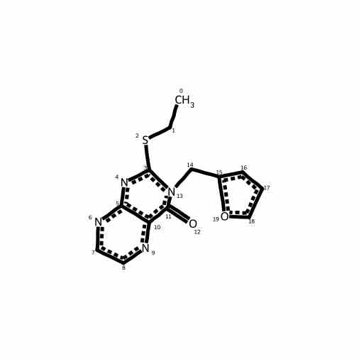 CCSc1nc2nccnc2c(=O)n1Cc1ccco1